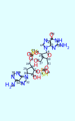 Nc1nc2c(ncn2C2OC3CO[P@@](=O)(S)OC4C(CO[P@@](=O)(S)OC2C3CO)CC(n2cnc3c(N)ncnc32)C4O)c(=O)[nH]1